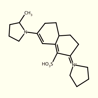 CC1CCCN1C1=CC2=C(S(=O)(=O)O)C(=[N+]3CCCC3)CCC2CC1